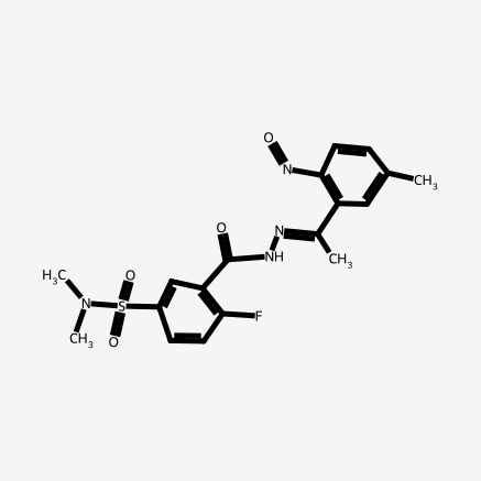 C/C(=N\NC(=O)c1cc(S(=O)(=O)N(C)C)ccc1F)c1cc(C)ccc1N=O